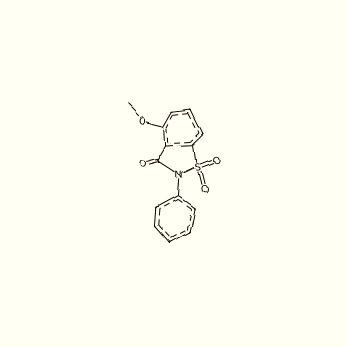 COc1cccc2c1C(=O)N(c1ccccc1)S2(=O)=O